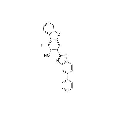 Oc1c(-c2nc3cc(-c4ccccc4)ccc3o2)cc2oc3ccccc3c2c1F